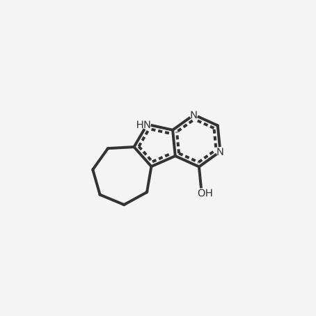 Oc1ncnc2[nH]c3c(c12)CCCCC3